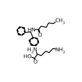 CCCCCC(=O)NC(c1ccccc1)c1ccccc1.NCCCCC(N)C(=O)O